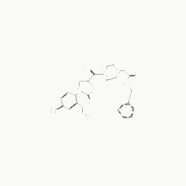 CSCC1=CC(=N)C=CC1N1CC(C(=O)N2CCN(CC(=O)OCc3ccccc3)CC2)OC1=O